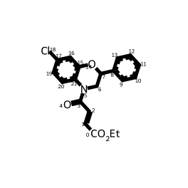 CCOC(=O)C=CC(=O)N1CC(c2ccccc2)Oc2cc(Cl)ccc21